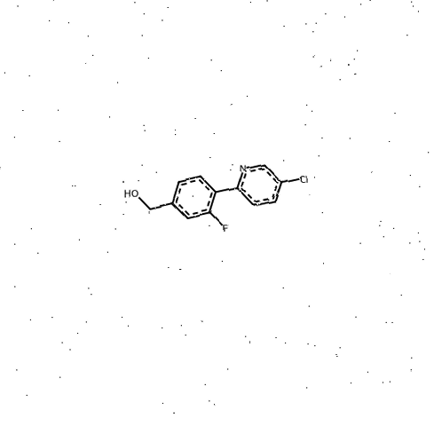 OCc1ccc(-c2ccc(Cl)cn2)c(F)c1